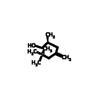 C=C(C[C@H](C)CO)C[Si](C)(C)C